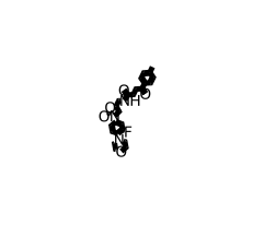 Cc1ccc(C(=O)CCC(=O)NCC2CN(c3ccc(N4CCOCC4)c(F)c3)C(=O)O2)cc1